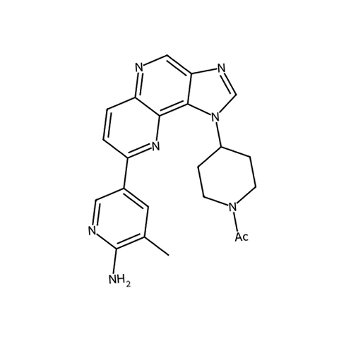 CC(=O)N1CCC(n2cnc3cnc4ccc(-c5cnc(N)c(C)c5)nc4c32)CC1